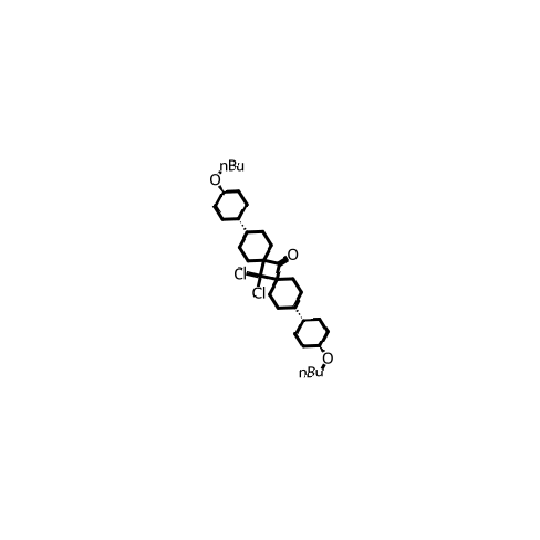 CCCCO[C@H]1CC[C@H](C2CCC3(CC2)C(=O)C2(CCC([C@H]4CC[C@H](OCCCC)CC4)CC2)C3(Cl)Cl)CC1